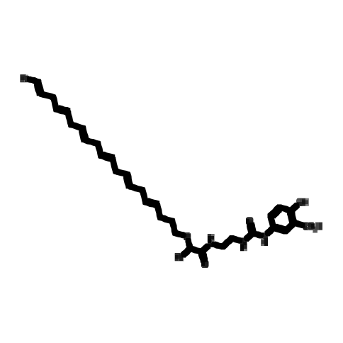 CCC=CCC=CCC=CCC=CCC=CCC=CCCCOC(CC)C(=O)NCCNC(=O)Nc1ccc(O)c(C(=O)O)c1